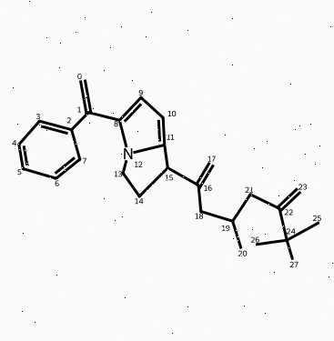 C=C(c1ccccc1)c1ccc2n1CCC2C(=C)CC(C)CC(=C)C(C)(C)C